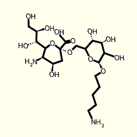 NCCCCCO[C@H]1OC(CO[C@]2(C(=O)O)C[C@@H](O)[C@@H](N)C([C@H](O)[C@H](O)CO)O2)[C@H](O)[C@H](O)C1O